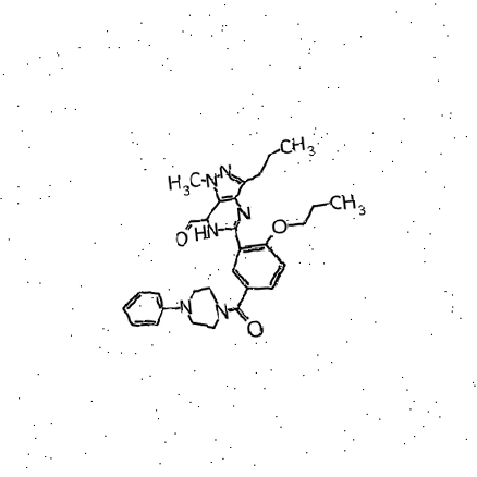 CCCOc1ccc(C(=O)N2CCN(c3ccccc3)CC2)cc1C1=Nc2c(CCC)nn(C)c2C(C=O)N1